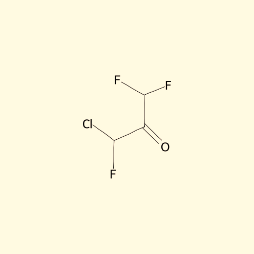 O=C(C(F)F)C(F)Cl